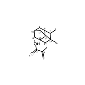 C=C(C)C(=O)O.CC1C2CC3CC(C2)CC1(C)C3